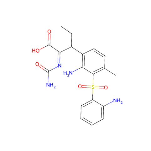 CCC(C(=NC(N)=O)C(=O)O)c1ccc(C)c(S(=O)(=O)c2ccccc2N)c1N